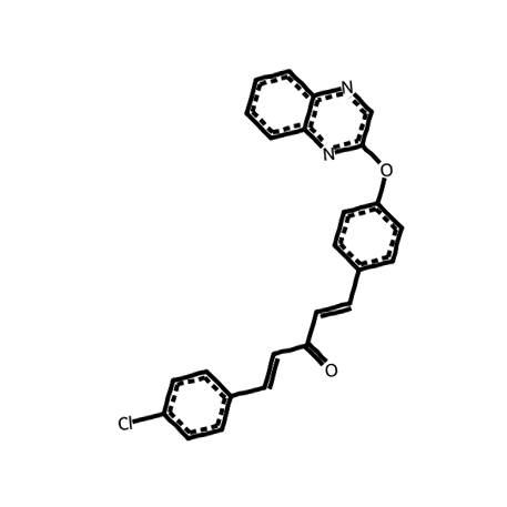 O=C(C=Cc1ccc(Cl)cc1)C=Cc1ccc(Oc2cnc3ccccc3n2)cc1